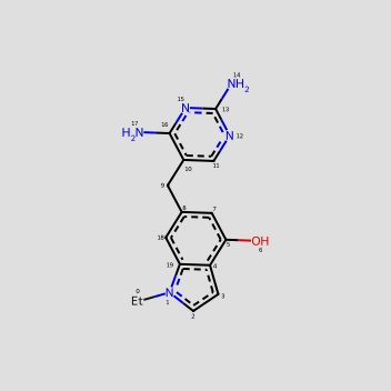 CCn1ccc2c(O)cc(Cc3cnc(N)nc3N)cc21